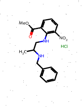 COC(=O)c1cccc([N+](=O)[O-])c1NCC(C)NCc1ccccc1.Cl